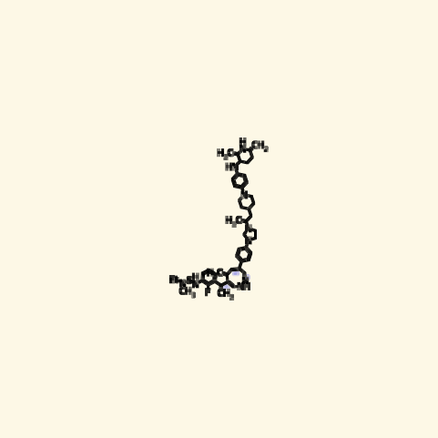 C=C1CCC(Nc2ccc(N3CCC(CC(=C)N4CCN(c5ccc(C6=C/C(=C)/C(C(=C)c7cccc(NSN(C)CC)c7F)=C\N/N=C\6)cc5)C4)CC3)cc2)C(=C)N1